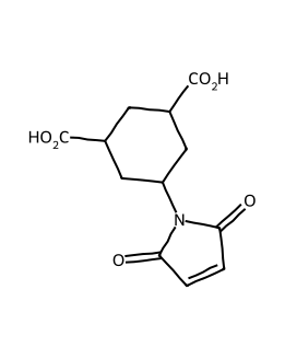 O=C(O)C1CC(C(=O)O)CC(N2C(=O)C=CC2=O)C1